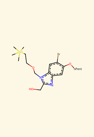 CCCCCOc1cc2nc(CO)n(COCC[SH](C)(C)(C)C)c2cc1Br